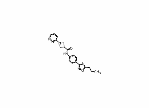 CCCc1nc(-c2ccc(NC(=O)C3CN(c4cccnn4)C3)cc2)no1